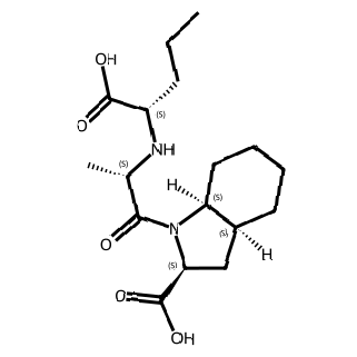 CCC[C@H](N[C@@H](C)C(=O)N1[C@H](C(=O)O)C[C@@H]2CCCC[C@@H]21)C(=O)O